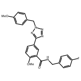 COc1ccc(Cn2nnc(-c3ccc(OC)c(C(=O)NCc4ccc(F)cc4)c3)n2)cc1